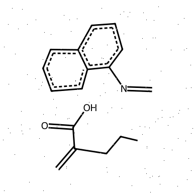 C=C(CCC)C(=O)O.C=Nc1cccc2ccccc12